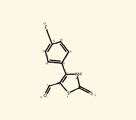 O=Cc1sc(=S)[nH]c1-c1ccc(F)cc1